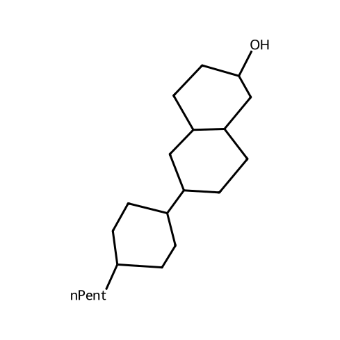 CCCCCC1CCC(C2CCC3CC(O)CCC3C2)CC1